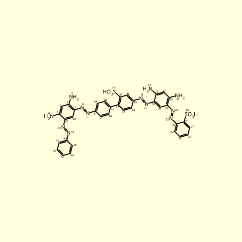 Nc1cc(N)c(N=Nc2ccc(-c3ccc(N=Nc4cc(N=Nc5ccccc5S(=O)(=O)O)c(N)cc4N)cc3S(=O)(=O)O)cc2)cc1N=Nc1ccccc1